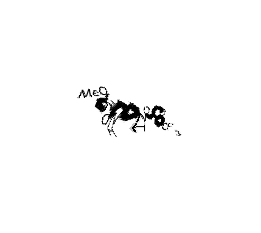 COC[C@@H]1CCCN1C1Cc2ccc(NC(=O)/C=C3\CCCOc4cc(C(F)(F)F)ccc43)cc2NC1=O